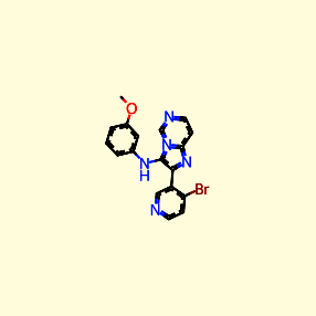 COc1cccc(Nc2c(-c3cnccc3Br)nc3ccncn23)c1